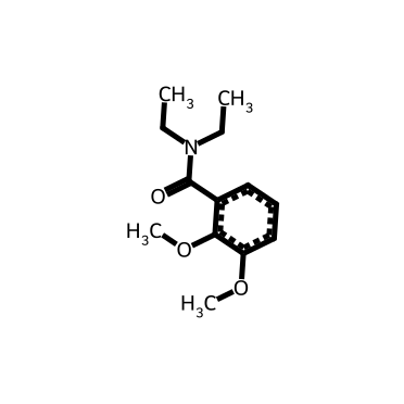 CCN(CC)C(=O)c1cccc(OC)c1OC